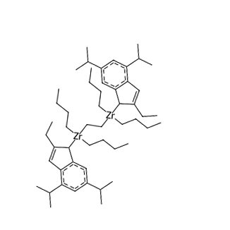 CCC[CH2][Zr]([CH2]CCC)([CH2][CH2][Zr]([CH2]CCC)([CH2]CCC)[CH]1C(CC)=Cc2c(C(C)C)cc(C(C)C)cc21)[CH]1C(CC)=Cc2c(C(C)C)cc(C(C)C)cc21